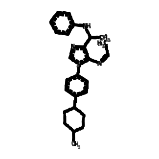 C/C=N\c1c(C(C)Nc2ccccc2)ncn1-c1ccc(C2CCC(C)CC2)cc1